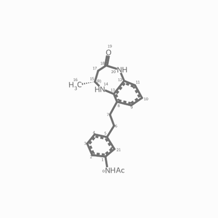 CC(=O)Nc1cccc(CCc2cccc3c2N[C@H](C)CC(=O)N3)c1